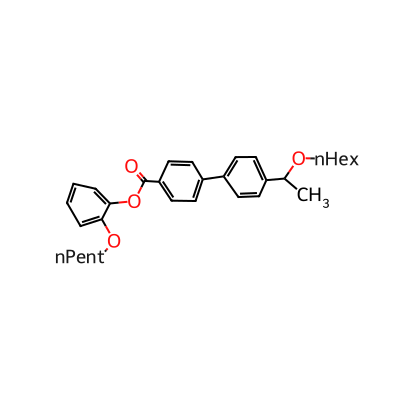 CCCCCCOC(C)c1ccc(-c2ccc(C(=O)Oc3ccccc3OCCCCC)cc2)cc1